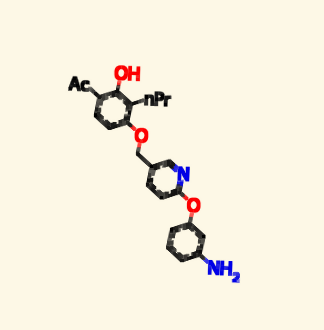 CCCc1c(OCc2ccc(Oc3cccc(N)c3)nc2)ccc(C(C)=O)c1O